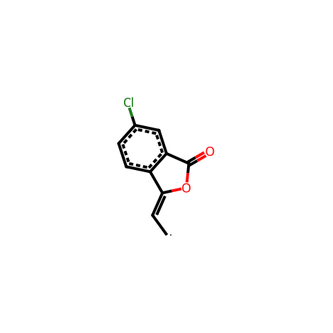 [CH2]C=C1OC(=O)c2cc(Cl)ccc21